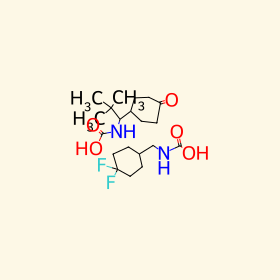 CC(C)(C)C(NC(=O)O)C1CCC(=O)CC1.O=C(O)NCC1CCC(F)(F)CC1